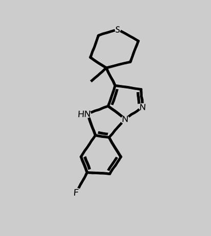 CC1(c2cnn3c2[nH]c2cc(F)ccc23)CCSCC1